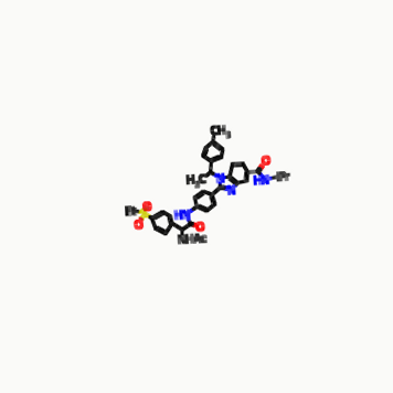 CCS(=O)(=O)c1ccc(C(NC(C)=O)C(=O)Nc2ccc(-c3nc4cc(C(=O)NC(C)C)ccc4n3C(C)c3ccc(C)cc3)cc2)cc1